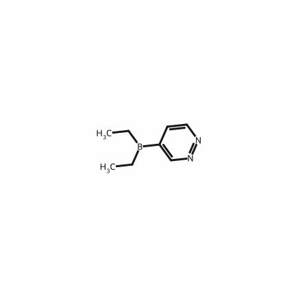 CCB(CC)c1ccnnc1